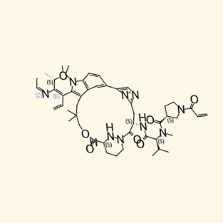 C=CC(=O)N1CC[C@H](C(=O)N(C)[C@H](C(=O)N[C@H]2Cc3ncc(n3C)-c3ccc4c(c3)c(c(/C(C=C)=C(/N=C\C)[C@H](C)OC)n4CC)CC(C)(C)COC(=O)[C@@H]3CCCN(N3)C2=O)C(C)C)C1